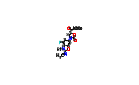 CCn1/c(=N\C)oc2cc(N3C[C@H](C(=O)NC)OC3=O)cc(F)c21